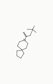 C=C(CC(C)(C)C)N1CCC2(CCCC2)CC1